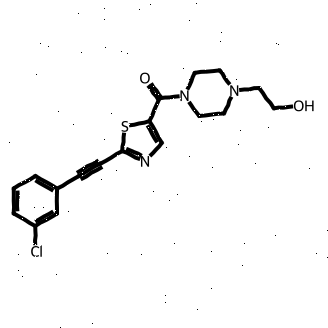 O=C(c1cnc(C#Cc2cccc(Cl)c2)s1)N1CCN(CCO)CC1